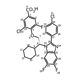 O=C(O)c1cc(F)c(OC[C@@H](C2CCCCC2)n2c(-c3ccc(Cl)cc3)nc3cc(F)c(F)cc32)c(Cl)c1